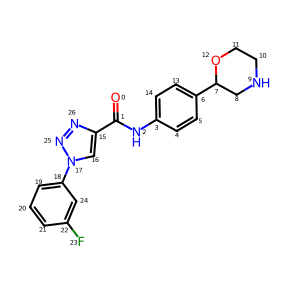 O=C(Nc1ccc(C2CNCCO2)cc1)c1cn(-c2cccc(F)c2)nn1